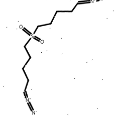 [N-]=[N+]=CCCCCS(=O)(=O)CCCCC=[N+]=[N-]